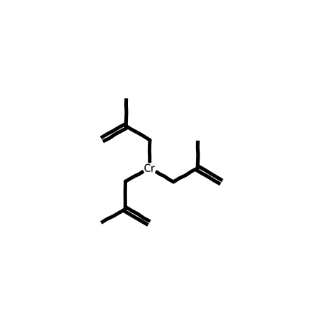 C=C(C)[CH2][Cr]([CH2]C(=C)C)[CH2]C(=C)C